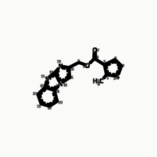 Cc1sccc1C(=O)OCc1cn2c(n1)sc1ccccc12